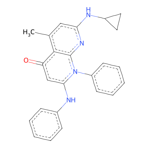 Cc1cc(NC2CC2)nc2c1c(=O)cc(Nc1ccccc1)n2-c1ccccc1